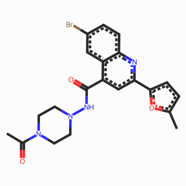 CC(=O)N1CCN(NC(=O)c2cc(-c3ccc(C)o3)nc3ccc(Br)cc23)CC1